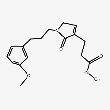 COc1cccc(CCCN2CC=C(CCC(=O)NO)C2=O)c1